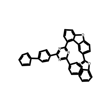 c1ccc(-c2ccc(-c3nc(-c4ccccc4)nc(-c4cccc5oc6ccc(-c7nc8ccccc8o7)cc6c45)n3)cc2)cc1